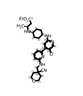 CCOC(=O)C[C@H](C)N[C@H]1CC[C@H](Nc2cc(-c3cccc(NCC4(C#N)CCOCC4)n3)c(Cl)cn2)CC1